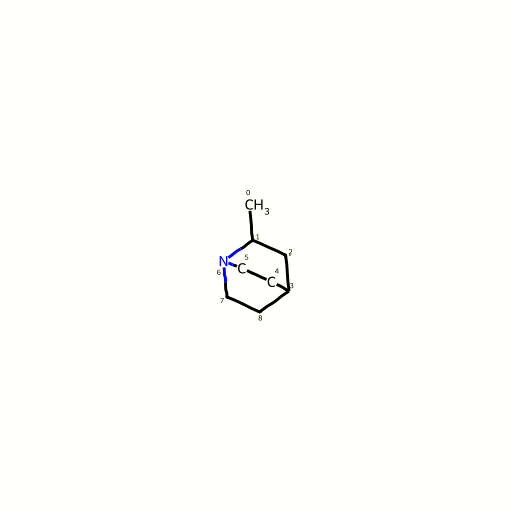 CC1[CH]C2CCN1CC2